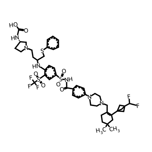 CC1(C)CCC(CN2CCN(c3ccc(C(=O)NS(=O)(=O)c4ccc(NC(CCN5CC[C@H](NC(=O)O)C5)CSc5ccccc5)c(S(=O)(=O)C(F)(F)F)c4)cc3)CC2)=C(C23CC(C(F)F)(C2)C3)C1